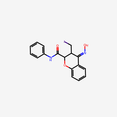 O=C(Nc1ccccc1)C1Oc2ccccc2/C(=N/O)C1CI